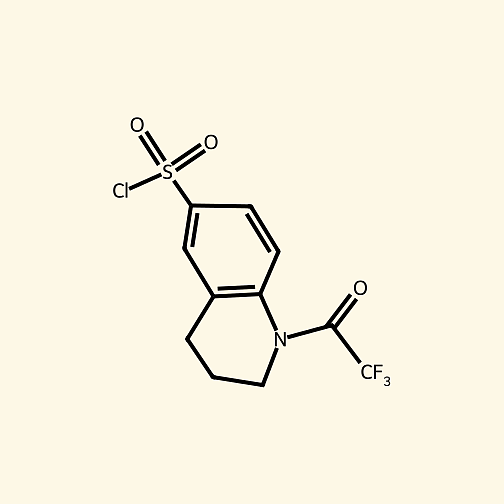 O=C(N1CCCc2cc(S(=O)(=O)Cl)ccc21)C(F)(F)F